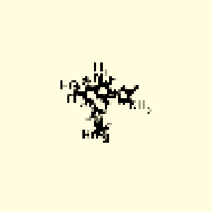 CC1CN(c2c(F)c(N)c3c(=O)c(C(=O)O)cn(C4COC4)c3c2F)CC1N.CS(=O)(=O)O